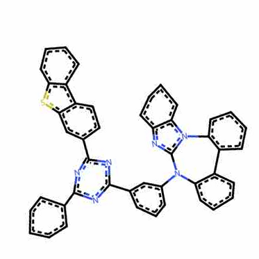 c1ccc(-c2nc(-c3cccc(N4c5ccccc5-c5ccccc5-n5c4nc4ccccc45)c3)nc(-c3ccc4c(c3)sc3ccccc34)n2)cc1